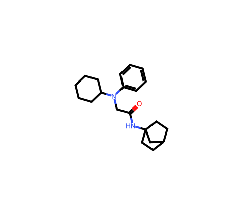 O=C(CN(c1ccccc1)C1CCCCC1)NC12CCC(CC1)C2